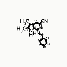 Cc1[nH]c2c(NCc3ccccc3)nc(C#N)cc2c1C